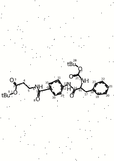 CC(C)(C)OC(=O)CCNC(=O)c1ccc(NC(=O)C(Cc2ccccc2)NC(=O)OC(C)(C)C)cc1